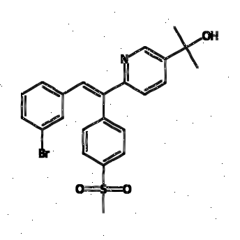 CC(C)(O)c1ccc(C(=Cc2cccc(Br)c2)c2ccc(S(C)(=O)=O)cc2)nc1